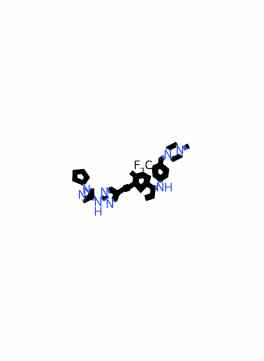 C=CC(Nc1ccc(CN2CCN(C)CC2)c(C(F)(F)F)c1)c1ccc(C)c(C#Cc2cnc(Nc3cnn(C4CCCC4)c3)nc2)c1